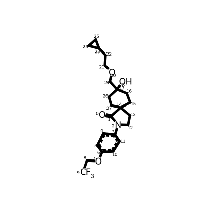 O=C1N(c2ccc(OCC(F)(F)F)cc2)CCC12CCC(O)(COCCC1CC1)CC2